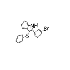 Brc1cccc(-c2[nH]c3ccccc3c2Sc2ccccc2)c1